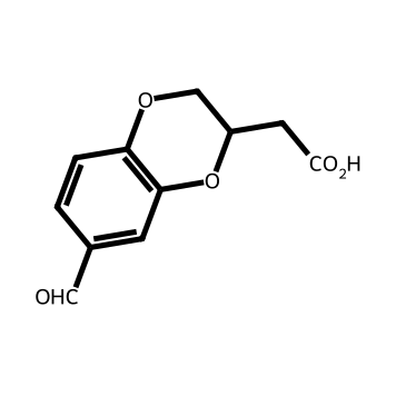 O=Cc1ccc2c(c1)OC(CC(=O)O)CO2